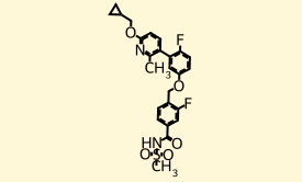 Cc1nc(OCC2CC2)ccc1-c1cc(OCc2ccc(C(=O)NS(C)(=O)=O)cc2F)ccc1F